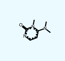 CN(C)c1ccnc(=O)n1C